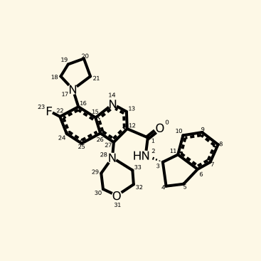 O=C(N[C@H]1CCc2ccccc21)c1cnc2c(N3CCCC3)c(F)ccc2c1N1CCOCC1